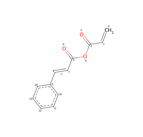 C=CC(=O)OC(=O)/C=C/c1ccccc1